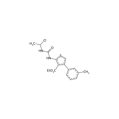 CCOC(=O)c1c(-c2cccc(C)c2)csc1NC(=O)NC(C)Cl